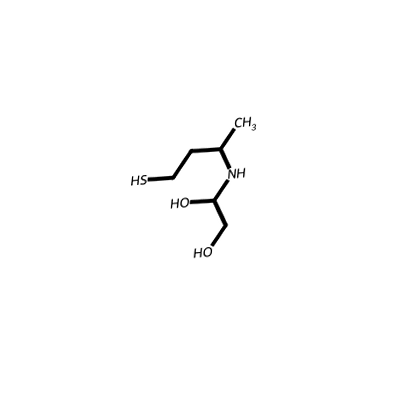 CC(CCS)NC(O)CO